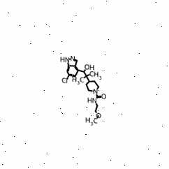 COCCNC(=O)N1CCC(C(C)(C)C(O)c2cc(Cl)cc3[nH]ncc23)CC1